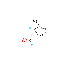 Cc1ccccc1F.OC(F)F